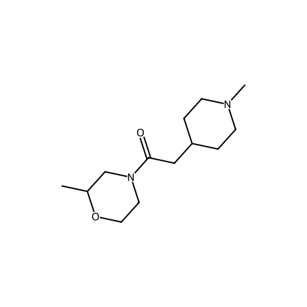 CC1CN(C(=O)CC2CCN(C)CC2)CCO1